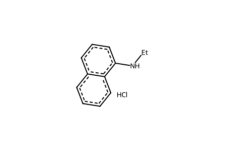 CCNc1cccc2ccccc12.Cl